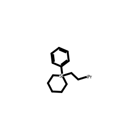 CC(C)CC[Si]1(c2ccccc2)CCCCC1